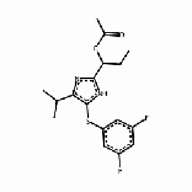 CCC(OC(C)=O)c1nc(C(C)C)c(Sc2cc(F)cc(F)c2)[nH]1